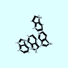 c1cc2[nH]cnc2cn1.c1cc2c[nH]nc2cn1.c1cnc2cc[nH]c2c1.c1cnc2nc[nH]c2c1